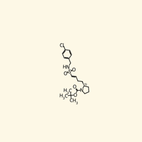 CC(C)(C)OC(=O)N1CCC[C@@H]1CCC=CS(=O)(=O)NCc1ccc(Cl)cc1